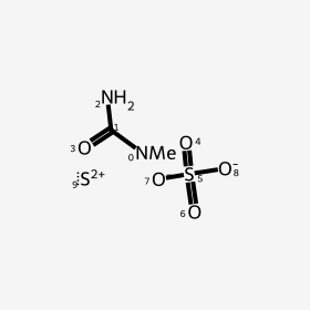 CNC(N)=O.O=S(=O)([O-])[O-].[S+2]